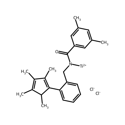 CC1=C(C)C(C)C(c2ccccc2C[N]([Ti+2])C(=O)c2cc(C)cc(C)c2)=C1C.[Cl-].[Cl-]